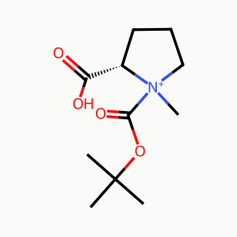 CC(C)(C)OC(=O)[N+]1(C)CCC[C@H]1C(=O)O